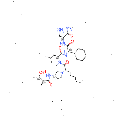 CCCCCCC(C(=O)N(C)[C@@H](CC(C)C)C(=O)N[C@H](C(=O)N[C@@H](CN)C(N)=O)C1CCCCC1)N1CC[C@H](NC(=O)[C@@H](C)[C@H](C)O)C1